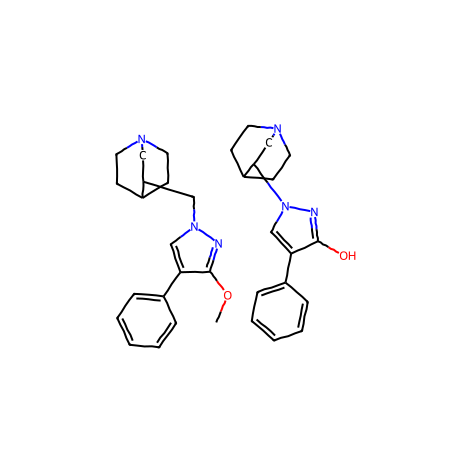 COc1nn(CC2CN3CCC2CC3)cc1-c1ccccc1.Oc1nn(C2CN3CCC2CC3)cc1-c1ccccc1